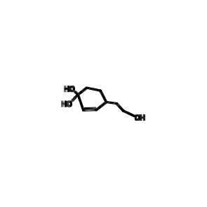 OCCC1C=CC(O)(O)CC1